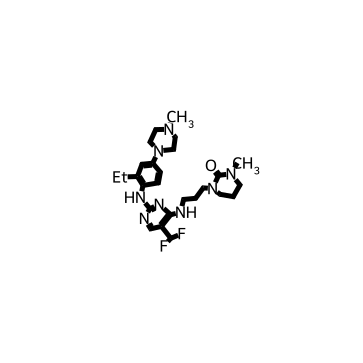 CCc1cc(N2CCN(C)CC2)ccc1Nc1ncc(C(F)F)c(NCCCN2CCCN(C)C2=O)n1